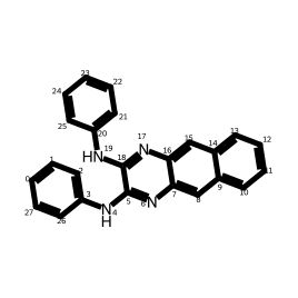 c1ccc(Nc2nc3cc4ccccc4cc3nc2Nc2ccccc2)cc1